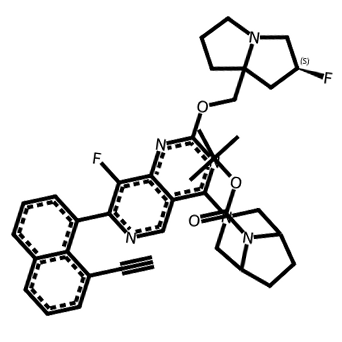 C#Cc1cccc2cccc(-c3ncc4c(N5CC6CCC(C5)N6C(=O)OC(C)(C)C)nc(OCC56CCCN5C[C@@H](F)C6)nc4c3F)c12